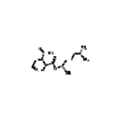 CC(C)CCCC(C)OC(=O)C1CC=CCC1C(=O)O